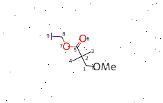 COCC(C)(C)C(=O)OCI